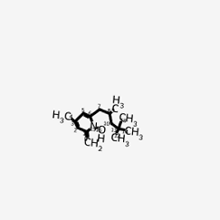 C=C1C=C(C)C=C(CC(C)CC(C)(C)C)N1O